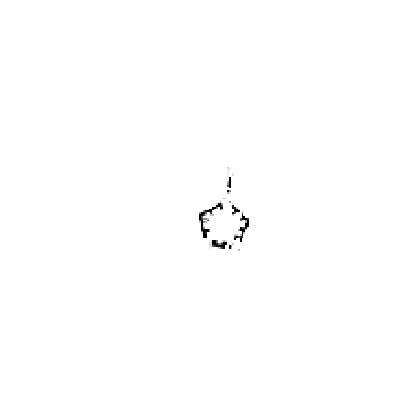 F.Nn1cnnc1